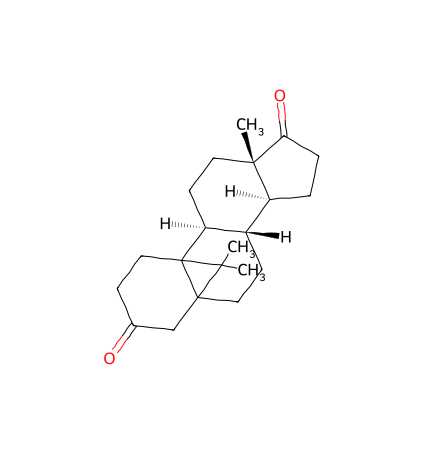 CC1(C)C23CC[C@@H]4[C@H](CC[C@]5(C)C(=O)CC[C@@H]45)C12CCC(=O)C3